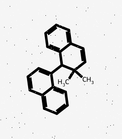 CC1(C)C=Cc2ccccc2C1c1cccc2ccccc12